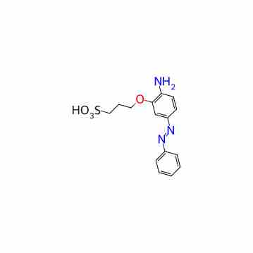 Nc1ccc(N=Nc2ccccc2)cc1OCCCS(=O)(=O)O